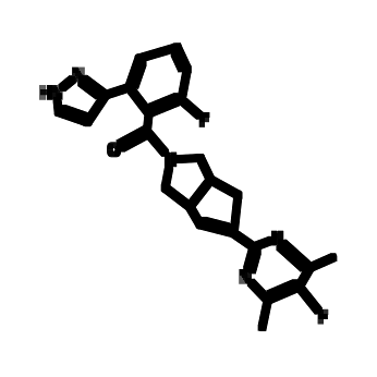 Cc1nc(C2=CC3CN(C(=O)c4c(F)cccc4-c4cc[nH]n4)CC3C2)nc(C)c1F